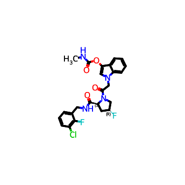 CNC(=O)Oc1cn(CC(=O)N2C[C@H](F)C[C@H]2C(=O)NCc2cccc(Cl)c2F)c2ccccc12